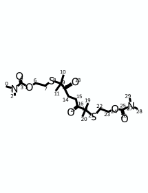 CN(C)C(=O)OCCSC(C)(C)C(=O)CCC(=O)C(C)(C)SCCOC(=O)N(C)C